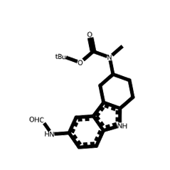 CN(C(=O)OC(C)(C)C)C1CCc2[nH]c3ccc(NC=O)cc3c2C1